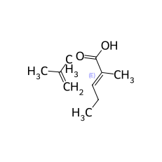 C=C(C)C.CC/C=C(\C)C(=O)O